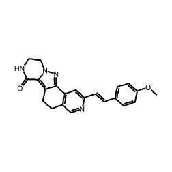 COc1ccc(/C=C/c2cc3c(cn2)CCc2c-3nn3c2C(=O)NCC3)cc1